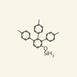 Cc1ccc(-c2ccc(O[SiH3])c(-c3ccc(C)cc3)c2-c2ccc(C)cc2)cc1